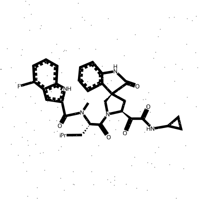 CC(C)C[C@@H](C(=O)N1C[C@]2(C[C@H]1C(=O)C(=O)NC1CC1)C(=O)Nc1ccccc12)N(C)C(=O)c1cc2c(F)cccc2[nH]1